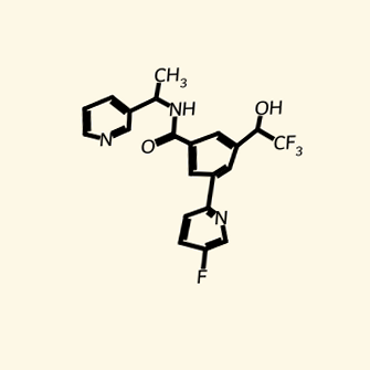 CC(NC(=O)c1cc(-c2ccc(F)cn2)cc(C(O)C(F)(F)F)c1)c1cccnc1